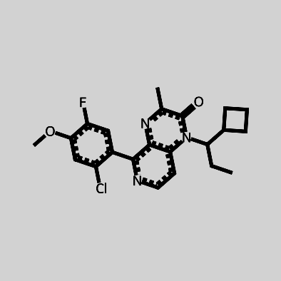 CCC(C1CCC1)n1c(=O)c(C)nc2c(-c3cc(F)c(OC)cc3Cl)nccc21